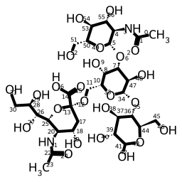 CC(=O)N[C@H]1[C@H](O[C@H]2[C@@H](O)[C@@H](CO[C@]3(C(=O)O)C[C@H](O)[C@@H](NC(C)=O)[C@H]([C@H](O)[C@H](O)CO)O3)O[C@@H](O[C@H]3[C@H](O)[C@@H](O)C(O)O[C@@H]3CO)[C@@H]2O)O[C@H](CO)[C@@H](O)[C@@H]1O